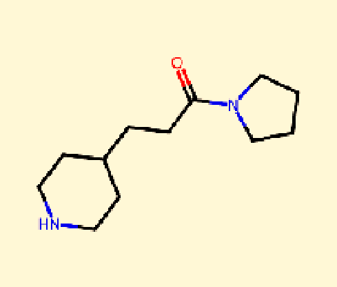 O=C(CCC1CCNCC1)N1CCCC1